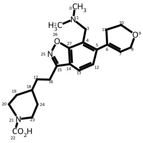 CN(C)Cc1c(C2=CCOCC2)ccc2c(CCC3CCN(C(=O)O)CC3)noc12